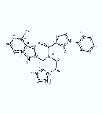 O=C(c1ccn(-c2ccccn2)n1)N1CCc2[nH]cnc2C1c1cc2c(F)cccn2n1